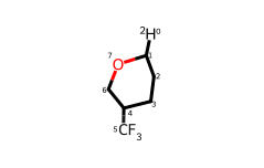 [2H]C1CCC(C(F)(F)F)CO1